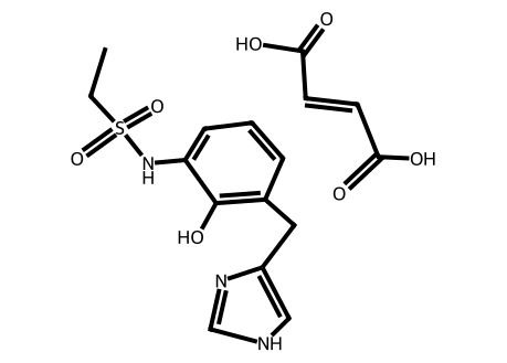 CCS(=O)(=O)Nc1cccc(Cc2c[nH]cn2)c1O.O=C(O)C=CC(=O)O